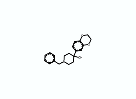 OC1(c2ccc3c(c2)OCCO3)CCN(Cc2ccccc2)CC1